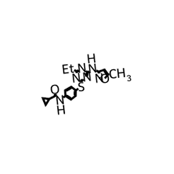 CCc1nc(Nc2cc(C)on2)nc(Sc2ccc(NC(=O)C3CC3)cc2)n1